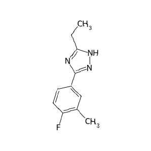 CCc1nc(-c2ccc(F)c(C)c2)n[nH]1